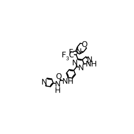 O=C(Nc1ccncc1)Nc1ccc(-c2nc(C(N3C4COCC3C(F)C4)C(F)(F)F)c3cn[nH]c3n2)cc1